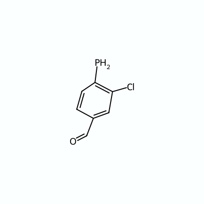 O=Cc1ccc(P)c(Cl)c1